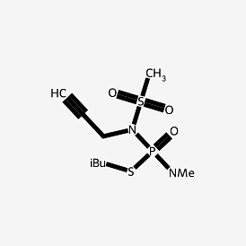 C#CCN(P(=O)(NC)SC(C)CC)S(C)(=O)=O